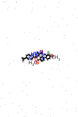 COC(=O)c1ccc(-c2ccc(OC)c(F)c2CNC(=O)C2=CN(Cc3cn4cc(C5CC5)ccc4n3)NN2)cc1